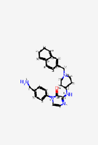 NCc1ccc(-n2ccnc(NC3CCN(Cc4ccc5c(c4)=CCCC=5)CC3)c2=O)cc1